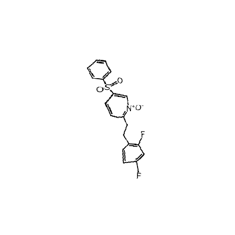 O=S(=O)(c1ccccc1)c1ccc(CCc2ccc(F)cc2F)[n+]([O-])c1